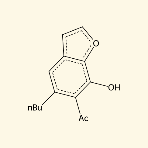 CCCCc1cc2ccoc2c(O)c1C(C)=O